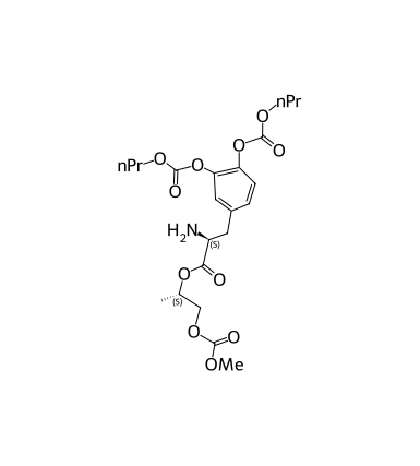 CCCOC(=O)Oc1ccc(C[C@H](N)C(=O)O[C@@H](C)COC(=O)OC)cc1OC(=O)OCCC